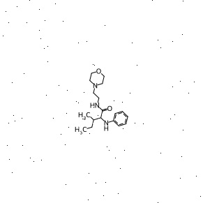 CCC(C)C(Nc1ccccc1)C(=O)NCCN1CCOCC1